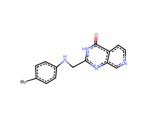 CCC(C)c1ccc(NCc2nc3cnccc3c(=O)[nH]2)cc1